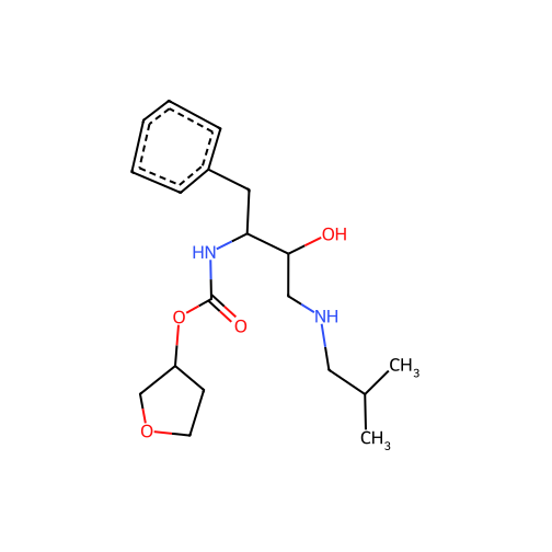 CC(C)CNCC(O)C(Cc1ccccc1)NC(=O)OC1CCOC1